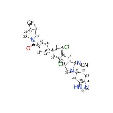 N#C/N=C1/C(Cc2c(Cl)cc(-c3ccc(C(=O)N4CCC(C(F)(F)F)CC4)cc3)cc2Cl)CCN1C1CCc2nc[nH]c2C1